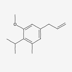 C=CCc1cc(C)c(C(C)C)c(OC)c1